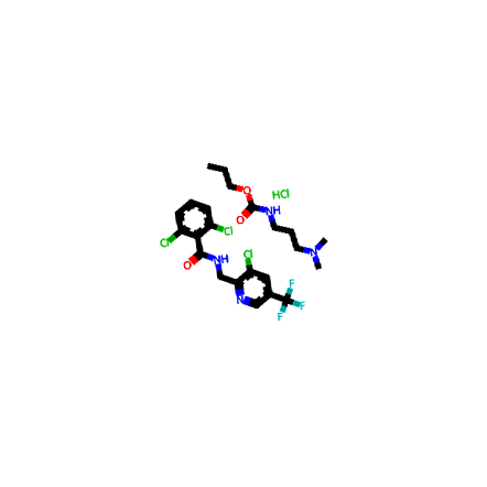 CCCOC(=O)NCCCN(C)C.Cl.O=C(NCc1ncc(C(F)(F)F)cc1Cl)c1c(Cl)cccc1Cl